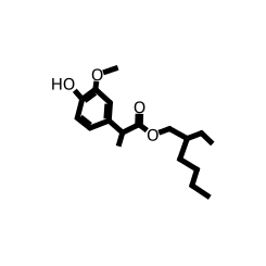 CCCCC(CC)COC(=O)C(C)c1ccc(O)c(OC)c1